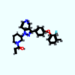 C=CC(=O)N1CCCC(n2nc(-c3ccc(Oc4cccc(C)c4F)cc3)c3cnccc32)C1